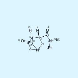 CCN(CC)C(=O)[C@@H]1CN2CC[C@@H]1C(=O)C2